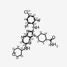 NC(=O)[C@H]1CC[C@@H](n2c(Nc3c(F)cc(Cl)cc3F)nc3ncc(NC4CCOCC4)nc32)CC1